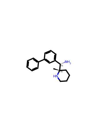 C[C@@]1([C@@H](N)c2cccc(-c3ccccc3)c2)CCCCN1